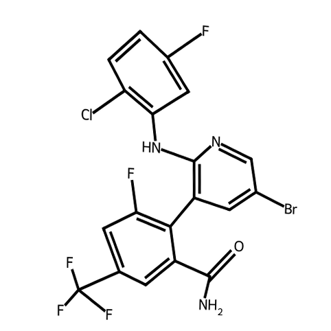 NC(=O)c1cc(C(F)(F)F)cc(F)c1-c1cc(Br)cnc1Nc1cc(F)ccc1Cl